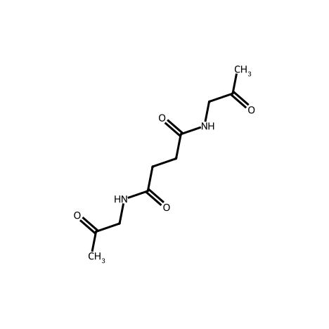 CC(=O)CNC(=O)CCC(=O)NCC(C)=O